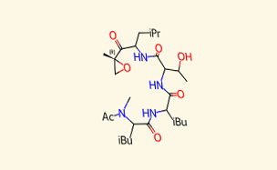 CCC(C)C(NC(=O)C(C(C)CC)N(C)C(C)=O)C(=O)NC(C(=O)NC(CC(C)C)C(=O)[C@@]1(C)CO1)C(C)O